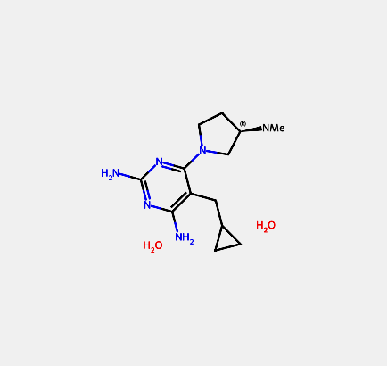 CN[C@@H]1CCN(c2nc(N)nc(N)c2CC2CC2)C1.O.O